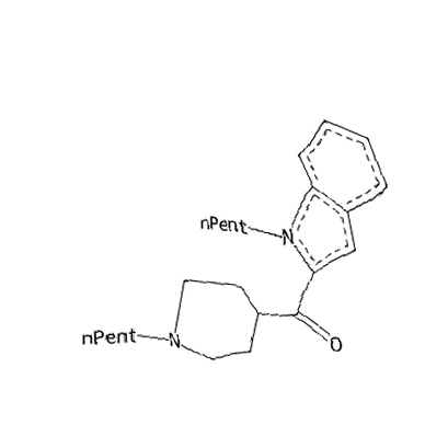 CCCCCN1CCC(C(=O)c2cc3ccccc3n2CCCCC)CC1